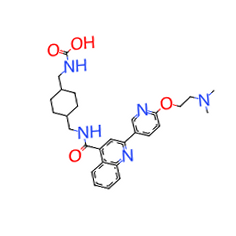 CN(C)CCOc1ccc(-c2cc(C(=O)NCC3CCC(CNC(=O)O)CC3)c3ccccc3n2)cn1